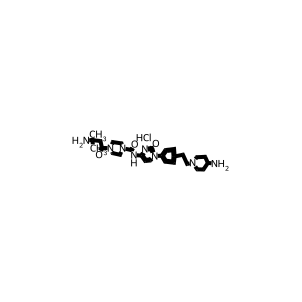 CC(C)(N)CC(=O)N1CCN(C(=O)Nc2ccn(-c3ccc(CCN4CCC(N)CC4)cc3)c(=O)n2)CC1.Cl